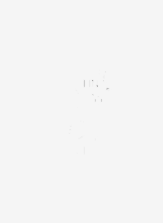 CC1CC=C(C(=O)NS(C)(=O)=O)C(C)(c2ccc(Cl)c(Cl)c2)C1